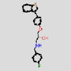 O[C@H](CNCc1ccc(F)cc1)COc1ccc(-c2csc3ccccc23)cc1